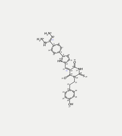 N/N=C(\NN)c1ccc(-c2ccc(/C=C3\C(=O)NC(=S)N(CCc4ccc(O)cc4)C3=O)[nH]2)cc1